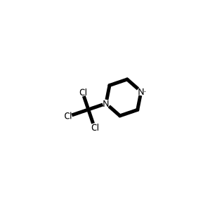 ClC(Cl)(Cl)N1CC[N]CC1